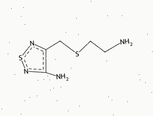 NCCSCc1nsnc1N